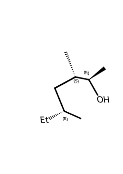 CC[C@@H](C)C[C@H](C)[C@@H](C)O